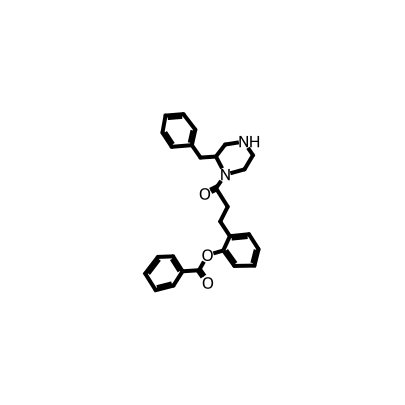 O=C(Oc1ccccc1CCC(=O)N1CCNCC1Cc1ccccc1)c1ccccc1